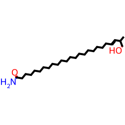 CC(C=CCCCCCCCCCCCCCCCCCCCCC(N)=O)CO